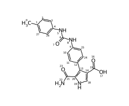 Cc1ccc(NC(=O)Nc2ccc(-c3c(C(=O)O)c[nH]c3C(N)=O)cc2)cc1